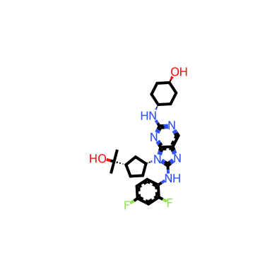 CC(C)(O)[C@H]1CC[C@@H](n2c(Nc3ccc(F)cc3F)nc3cnc(N[C@H]4CC[C@H](O)CC4)nc32)C1